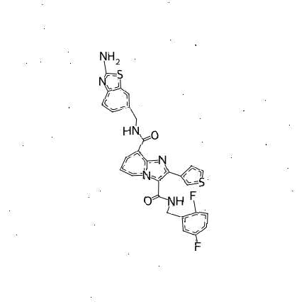 Nc1nc2ccc(CNC(=O)c3cccn4c(C(=O)NCc5cc(F)ccc5F)c(-c5ccsc5)nc34)cc2s1